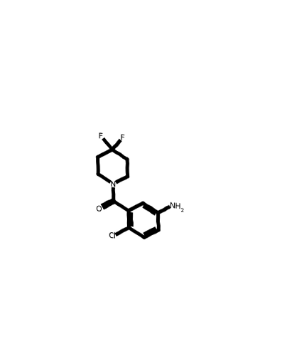 Nc1ccc(Cl)c(C(=O)N2CCC(F)(F)CC2)c1